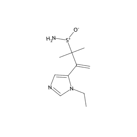 C=C(c1cncn1CC)C(C)(C)[S+](N)[O-]